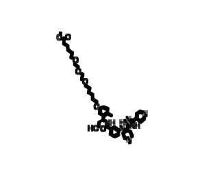 COC(=O)CCCCCOCCOCCOCCCCCCOc1ccc(C)c([C@H](CCO)NC(=O)c2cccc(NC3(c4nnc(-c5ccncc5)[nH]4)CCN(C)CC3)c2)c1